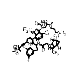 CN(CCCN)C(=O)CN(c1nn(CC(F)(F)F)c2c(-c3ccc(C#CC(C)(C)S(C)(=O)=O)nc3C(Cc3cc(F)cc(F)c3)NC(=O)Cn3nc(C(F)(F)F)c4c3C(F)(F)[C@@H]3C[C@H]43)ccc(Cl)c12)[SH](=O)=O